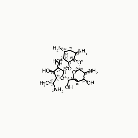 C[C@H](N)[C@H]1O[C@@H](OC2[C@H](O[C@H]3OC(CO)=CC(O)C3N)C(N)C[C@@H](N)[C@H]2O)C(O)C1O